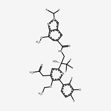 CCOc1c(CC(N)=O)cc([C@@](O)(CNC(=O)c2cc(OC)c3nn(C(F)F)cc3c2)C(F)(F)F)nc1-c1ccc(F)c(Cl)c1F